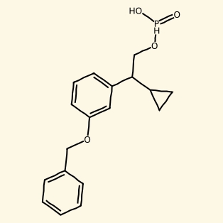 O=[PH](O)OCC(c1cccc(OCc2ccccc2)c1)C1CC1